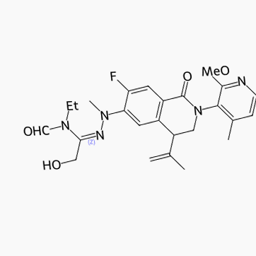 C=C(C)C1CN(c2c(C)ccnc2OC)C(=O)c2cc(F)c(N(C)/N=C(/CO)N(C=O)CC)cc21